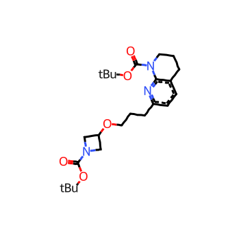 CC(C)(C)OC(=O)N1CC(OCCCc2ccc3c(n2)N(C(=O)OC(C)(C)C)CCC3)C1